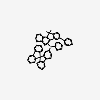 CC1(C)c2ccc(-c3ccccc3)cc2-c2c(N(c3ccccc3)c3ccc4c(c3)C3(c5ccccc5-c5ccccc53)c3ccccc3-4)cc3ccccc3c21